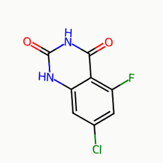 O=c1[nH]c(=O)c2c(F)cc(Cl)cc2[nH]1